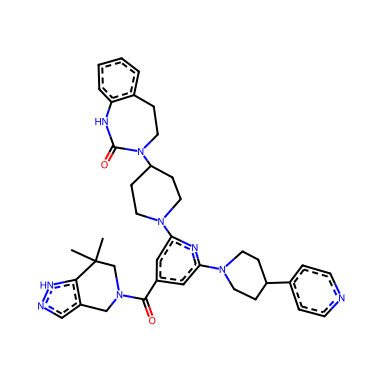 CC1(C)CN(C(=O)c2cc(N3CCC(c4ccncc4)CC3)nc(N3CCC(N4CCc5ccccc5NC4=O)CC3)c2)Cc2cn[nH]c21